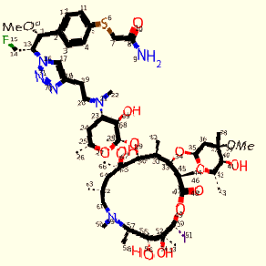 CO[C@H](c1ccc(SCC(N)=O)cc1)[C@@H](CF)n1cc(CCN(C)[C@H]2C[C@@H](C)O[C@@H](O[C@@H]3[C@@H](C)[C@H](O[C@H]4C[C@@](C)(OC)[C@@H](O)[C@H](C)O4)[C@@H](C)C(=O)O[C@H](I)[C@@](C)(O)[C@H](O)[C@@H](C)N(C)C[C@H](C)C[C@@]3(C)O)[C@@H]2O)nn1